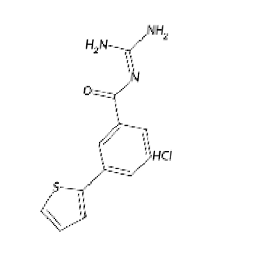 Cl.NC(N)=NC(=O)c1cccc(-c2cccs2)c1